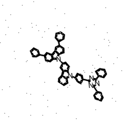 c1ccc(-c2ccc3c(c2)c2cc(-c4ccccc4)ccc2n3-c2ccc3c(c2)c2ccccc2n3-c2ccc(-c3nc(-c4ccccc4)nc(-c4ccccc4)n3)cc2)cc1